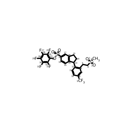 CS(=O)(=O)CCc1cc(C(F)(F)F)ccc1C1CCc2cc(S(=O)(=O)Oc3c(F)c(F)c(F)c(F)c3F)ccc21